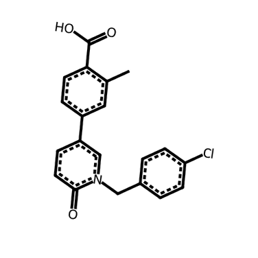 Cc1cc(-c2ccc(=O)n(Cc3ccc(Cl)cc3)c2)ccc1C(=O)O